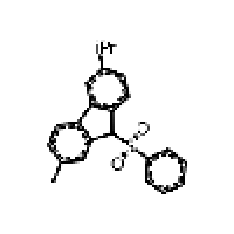 Cc1ccc2c(c1)C(S(=O)(=O)c1ccccc1)c1ccc(C(C)C)cc1-2